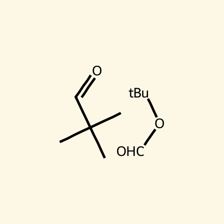 CC(C)(C)C=O.CC(C)(C)OC=O